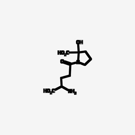 NC(CCC(=O)N1CCCC1(O)C(=O)O)C(=O)O